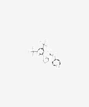 CN(C(=O)[C@@H]1CCCN1c1cc(C(F)(F)F)cc(C(F)(F)F)n1)c1ccncc1